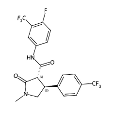 CN1C[C@H](c2ccc(C(F)(F)F)cc2)[C@@H](C(=O)Nc2ccc(F)c(C(F)(F)F)c2)C1=O